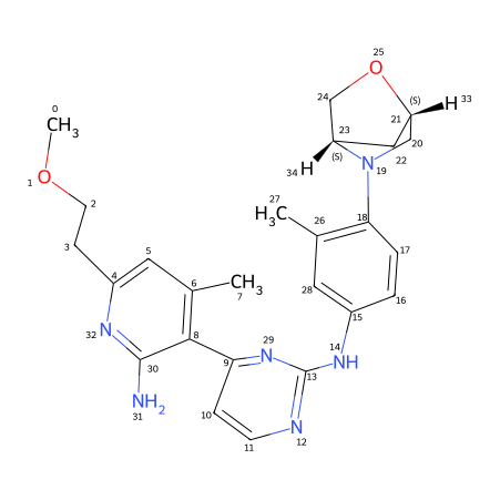 COCCc1cc(C)c(-c2ccnc(Nc3ccc(N4C[C@@H]5C[C@H]4CO5)c(C)c3)n2)c(N)n1